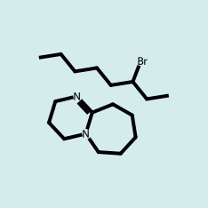 C1CCC2=NCCCN2CC1.CCCCCC(Br)CC